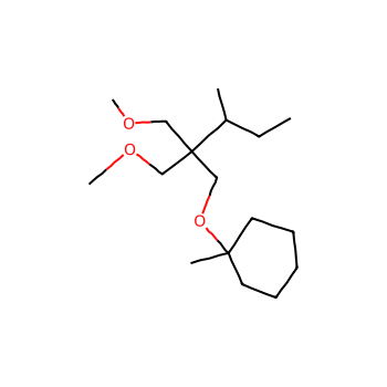 CCC(C)C(COC)(COC)COC1(C)CCCCC1